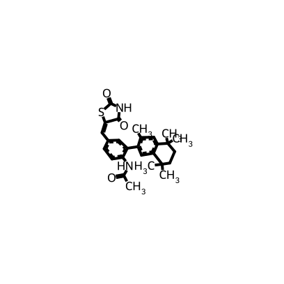 CC(=O)Nc1ccc(C=C2SC(=O)NC2=O)cc1-c1cc2c(cc1C)C(C)(C)CCC2(C)C